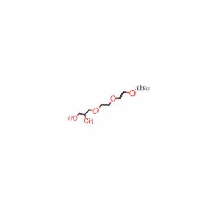 CC(C)(C)OCCOCCOCC(O)CO